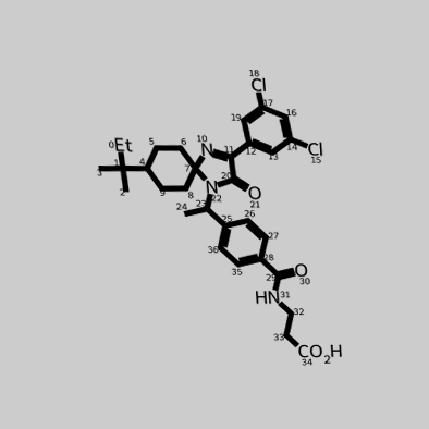 CCC(C)(C)C1CCC2(CC1)N=C(c1cc(Cl)cc(Cl)c1)C(=O)N2C(C)c1ccc(C(=O)NCCC(=O)O)cc1